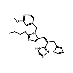 CCCCc1ncc(/C=C(/Cc2cccs2)c2nnn[nH]2)n1Cc1cccc(OC)c1